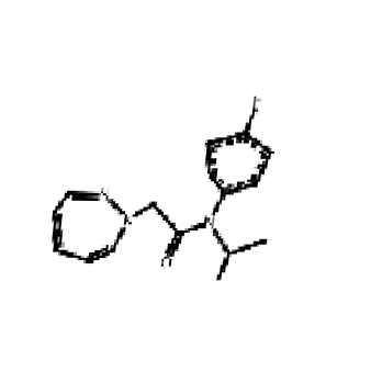 CC(C)N(C(=O)CN1C=CC=CC=N1)c1ccc(F)cc1